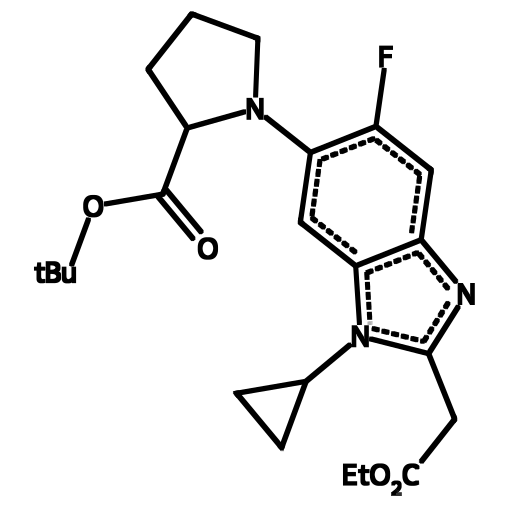 CCOC(=O)Cc1nc2cc(F)c(N3CCCC3C(=O)OC(C)(C)C)cc2n1C1CC1